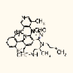 C=CCCN(/C(=N/C)c1cc(Cl)c(C2=C(O)CCC=C2F)nc1N(C=O)c1c(C)cncc1C)C(C)CNC=O